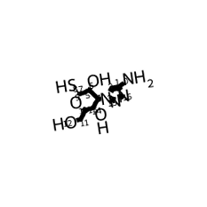 Nc1cn(C2C(O)[C@@H](S)OC(CO)[C@@H]2O)nn1